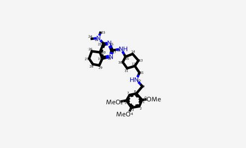 COc1cc(OC)c(OC)cc1CNCC1CCC(Nc2nc3c(c(N(C)C)n2)CCCC3)CC1